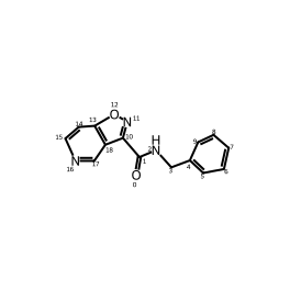 O=C(NCc1ccccc1)c1noc2ccncc12